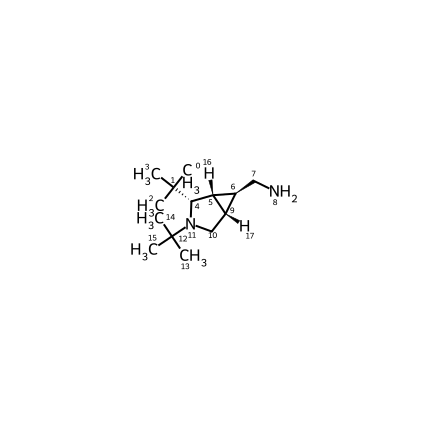 CC(C)(C)[C@@H]1[C@@H]2[C@@H](CN)[C@@H]2CN1C(C)(C)C